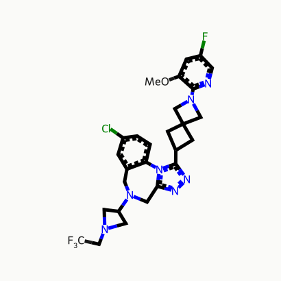 COc1cc(F)cnc1N1CC2(CC(c3nnc4n3-c3ccc(Cl)cc3CN(C3CN(CC(F)(F)F)C3)C4)C2)C1